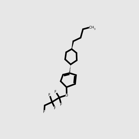 CCCC[C@H]1CC[C@H](C2=CCC(OC(F)(F)C(F)(F)CF)C=C2)CC1